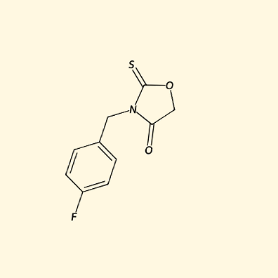 O=C1COC(=S)N1Cc1ccc(F)cc1